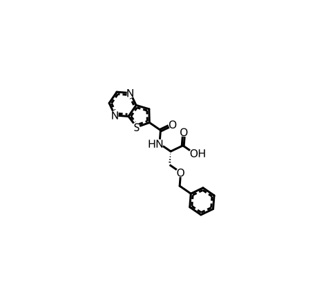 O=C(N[C@@H](COCc1ccccc1)C(=O)O)c1cc2nccnc2s1